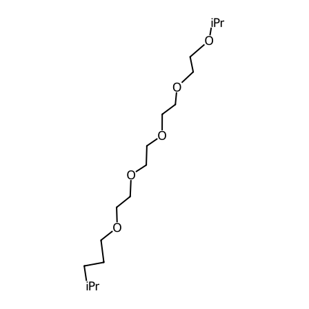 CC(C)CCCOCCOCCOCCOCCOC(C)C